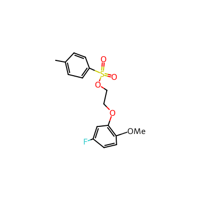 COc1ccc(F)cc1OCCOS(=O)(=O)c1ccc(C)cc1